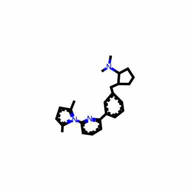 Cc1ccc(C)n1-c1cccc(-c2cccc(CC3CCCC3N(C)C)c2)n1